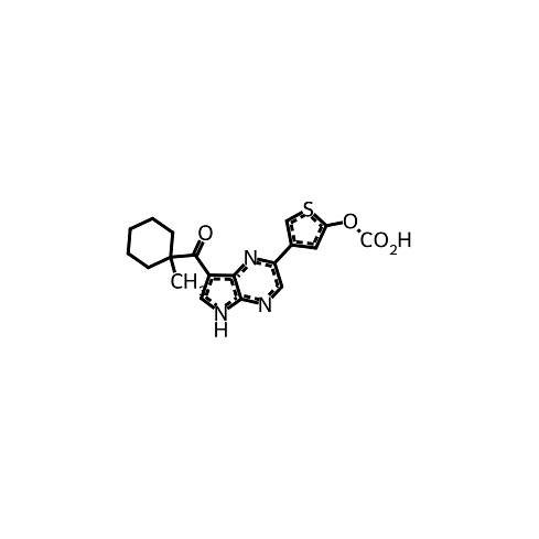 CC1(C(=O)c2c[nH]c3ncc(-c4csc(OC(=O)O)c4)nc23)CCCCC1